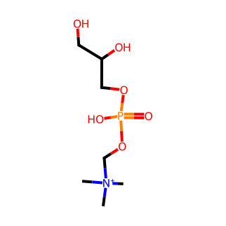 C[N+](C)(C)COP(=O)(O)OCC(O)CO